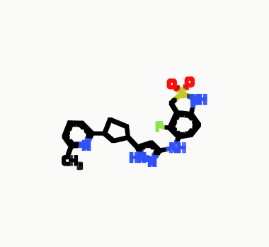 Cc1cccc(C2CCC(c3cc(Nc4ccc5c(c4F)CS(=O)(=O)N5)n[nH]3)C2)n1